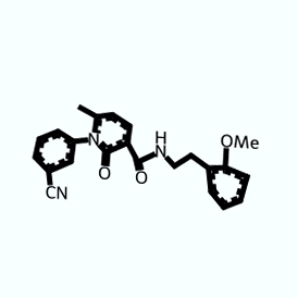 COc1ccccc1CCNC(=O)c1ccc(C)n(-c2cccc(C#N)c2)c1=O